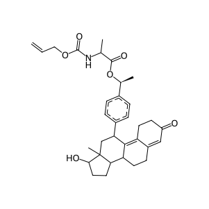 C=CCOC(=O)NC(C)C(=O)O[C@@H](C)c1ccc(C2CC3(C)C(O)CCC3C3CCC4=CC(=O)CCC4=C23)cc1